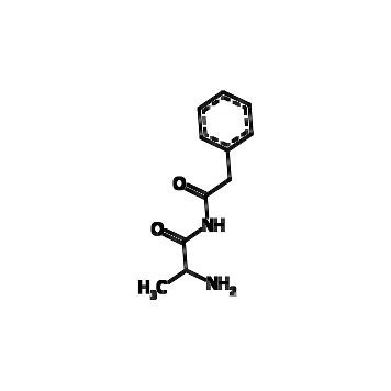 CC(N)C(=O)NC(=O)Cc1ccccc1